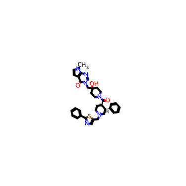 Cn1ccc2c(=O)n(CC3(O)CCN(C(=O)[C@@H]4CCN(Cc5cnc(-c6ccccc6)s5)C[C@H]4c4ccccc4)CC3)cnc21